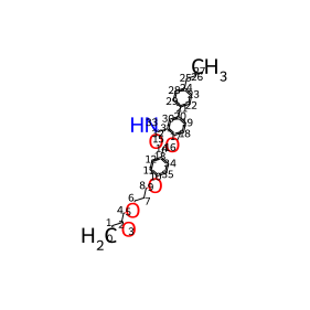 C=CC(=O)COCCCOc1ccc(C(=O)Oc2ccc(-c3ccc(CCC)cc3)cc2C=N)cc1